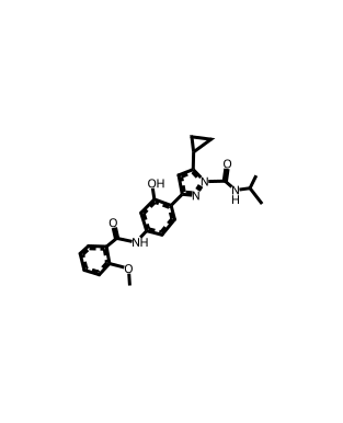 COc1ccccc1C(=O)Nc1ccc(-c2cc(C3CC3)n(C(=O)NC(C)C)n2)c(O)c1